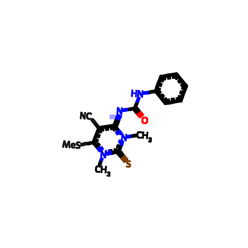 CSc1c(C#N)/c(=N/C(=O)Nc2ccccc2)n(C)c(=S)n1C